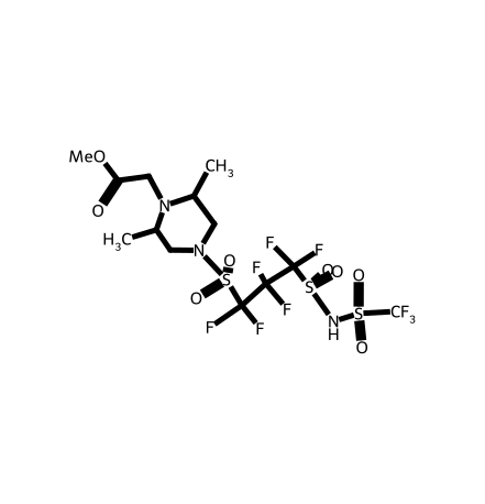 COC(=O)CN1C(C)CN(S(=O)(=O)C(F)(F)C(F)(F)C(F)(F)S(=O)(=O)NS(=O)(=O)C(F)(F)F)CC1C